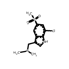 CN(C)Cc1c[nH]c2c(Cl)cc(S(C)(=O)=O)cc12